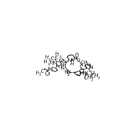 C=CC(=O)N1CC[C@H](C(=O)N(C)C(C(=O)N[C@H]2Cc3nsc(n3)-c3ccc4c(c3)c(c(-c3cccnc3[C@H](C)OC)n4CC)CC(C)(C)COC(=O)[C@@H]3CCCN(N3)C2=O)C(C)C)C1